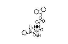 N[C@@H](Cc1ccccc1)C(=O)N[C@@H](CS)C(=O)NCC(=O)C(=O)OCC1c2ccccc2-c2ccccc21